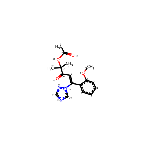 COc1ccccc1C(=CC(=O)C(C)(C)OC(C)=O)n1cncn1